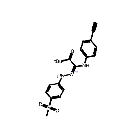 C#Cc1ccc(N/C(=N/Nc2ccc(S(C)(=O)=O)cc2)C(=O)C(C)(C)C)cc1